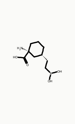 N[C@]1(C(=O)O)CCC[C@H](CCB(O)O)C1